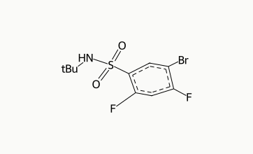 CC(C)(C)NS(=O)(=O)c1cc(Br)c(F)cc1F